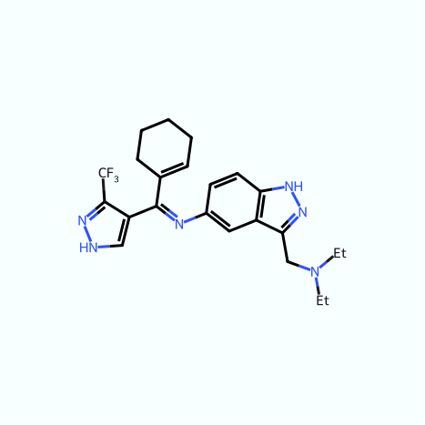 CCN(CC)Cc1n[nH]c2ccc(/N=C(\C3=CCCCC3)c3c[nH]nc3C(F)(F)F)cc12